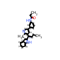 C=CC(=O)Nc1cccc(-c2cnc(C)c(/C(=C\CC)c3cc4ccccc4[nH]3)c2)c1